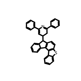 C1=C(c2ccccc2)N=C(c2ccccc2)CC1C1c2ccccc2-c2c1ccc1sc3ccccc3c21